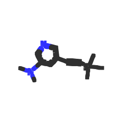 CN(C)c1cncc(C#C[Si](C)(C)C)c1